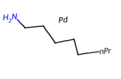 CCCCCCCCN.[Pd]